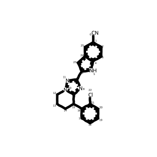 N#Cc1ccc2[nH]c(-c3nc4n(n3)CCCC4c3ccccc3Cl)cc2c1